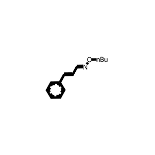 CCCCON=CC=Cc1ccccc1